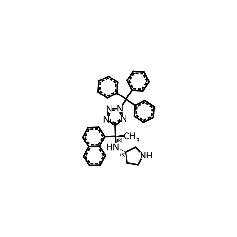 C[C@](N[C@H]1CCNC1)(c1nnn(C(c2ccccc2)(c2ccccc2)c2ccccc2)n1)c1cccc2ccccc12